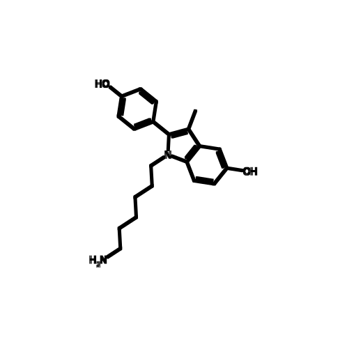 Cc1c(-c2ccc(O)cc2)n(CCCCCCN)c2ccc(O)cc12